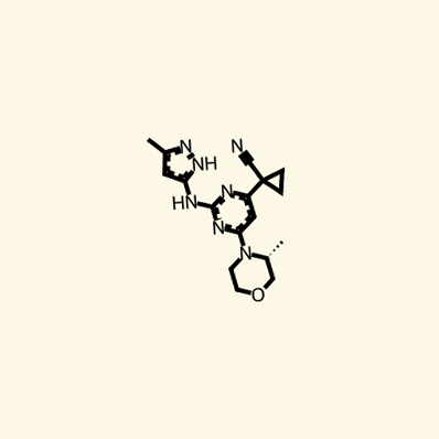 Cc1cc(Nc2nc(N3CCOC[C@H]3C)cc(C3(C#N)CC3)n2)[nH]n1